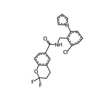 O=C(NCc1c(Cl)cccc1-n1cccc1)c1ccc2c(c1)CCC(F)(F)O2